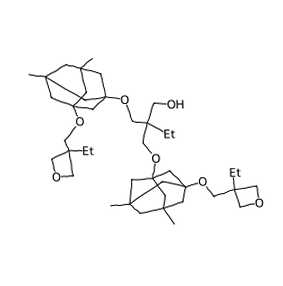 CCC1(COC23CC4(C)CC(C)(C2)CC(OCC(CC)(CO)COC25CC6(C)CC(C)(CC(OCC7(CC)COC7)(C6)C2)C5)(C4)C3)COC1